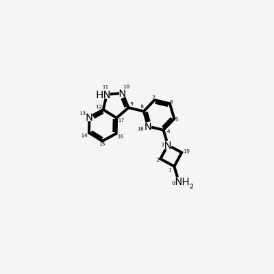 NC1CN(c2cccc(-c3n[nH]c4ncccc34)n2)C1